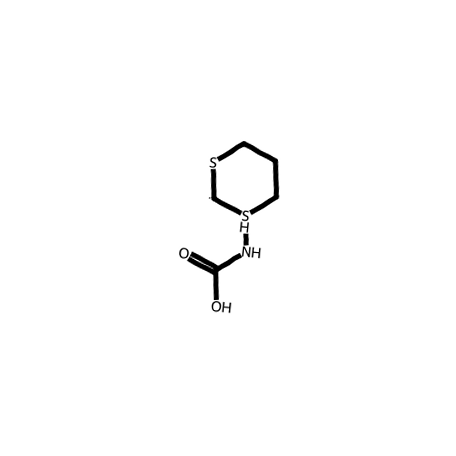 O=C(O)N[SH]1[CH]SCCC1